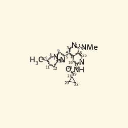 CNc1ncc(-c2cn3cc(C)ccc3n2)c2cc(NC(=O)C3CC3)ncc12